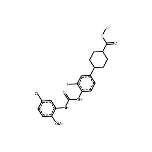 COc1ccc(Cl)cc1NC(=O)Nc1ccc(C2CCC(C(=O)OC(C)C)CC2)cc1F